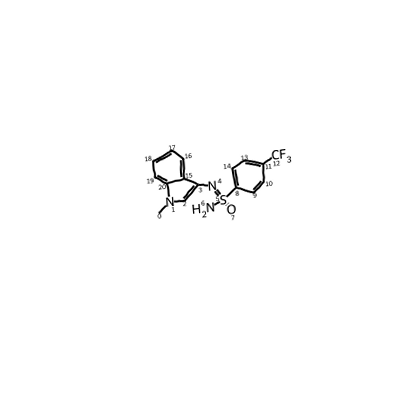 Cn1cc(N=S(N)(=O)c2ccc(C(F)(F)F)cc2)c2ccccc21